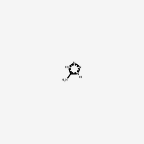 I.Nc1nnn[nH]1